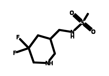 CS(=O)(=O)NCC1CNCC(F)(F)C1